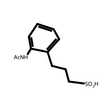 CC(=O)Nc1ccccc1CCCS(=O)(=O)O